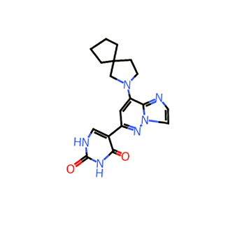 O=c1[nH]cc(-c2cc(N3CCC4(CCCC4)C3)c3nccn3n2)c(=O)[nH]1